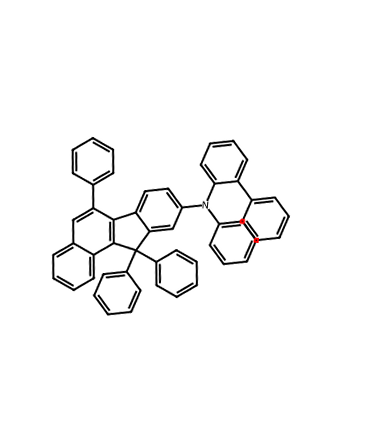 c1ccc(-c2ccccc2N(c2ccccc2)c2ccc3c(c2)C(c2ccccc2)(c2ccccc2)c2c-3c(-c3ccccc3)cc3ccccc23)cc1